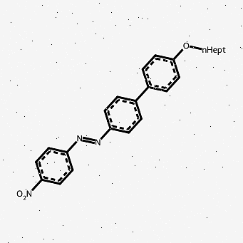 CCCCCCCOc1ccc(-c2ccc(N=Nc3ccc([N+](=O)[O-])cc3)cc2)cc1